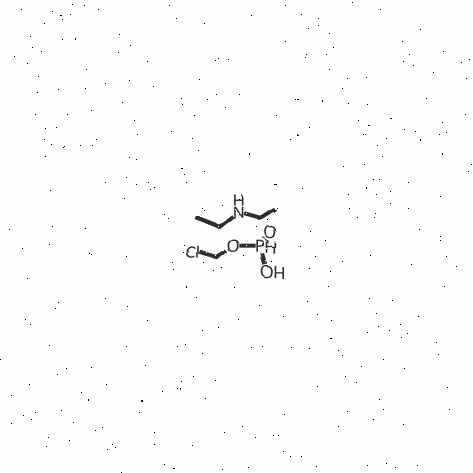 CCNCC.O=[PH](O)OCCl